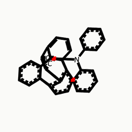 C1=CC2c3cccc4c3-c3cc(N(c5ccccc5)c5ccccc5)ccc3C(=C1)C2c1ccccc1-4